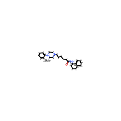 CSc1ccccc1N1CCN(CCCCCC(=O)NC2CCCc3ccccc32)CC1